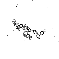 CC1(C)CCC(CN2CCN(c3ccc(C(=O)NS(=O)(=O)c4ccc(NC[C@H]5COCCO5)c([N+](=O)[O-])c4)c(N4CCCOc5nc6sccc6cc54)c3)CC2)=C(c2ccc(Cl)cc2)C1